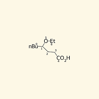 CCCCC(CCC(=O)O)OCC